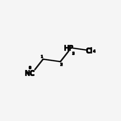 N#CCCPCl